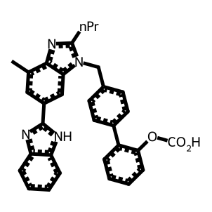 CCCc1nc2c(C)cc(-c3nc4ccccc4[nH]3)cc2n1Cc1ccc(-c2ccccc2OC(=O)O)cc1